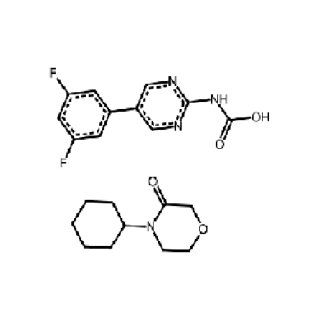 O=C(O)Nc1ncc(-c2cc(F)cc(F)c2)cn1.O=C1COCCN1C1CCCCC1